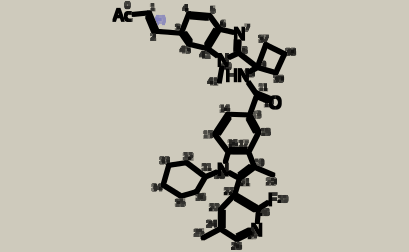 CC(=O)/C=C/c1ccc2nc(C3(NC(=O)c4ccc5c(c4)c(C)c(-c4cc(C)cnc4F)n5C4CCCCC4)CCC3)n(C)c2c1